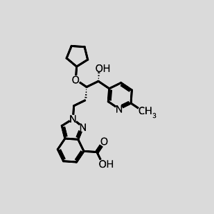 Cc1ccc([C@@H](O)[C@H](CCn2cc3cccc(C(=O)O)c3n2)OC2CCCC2)cn1